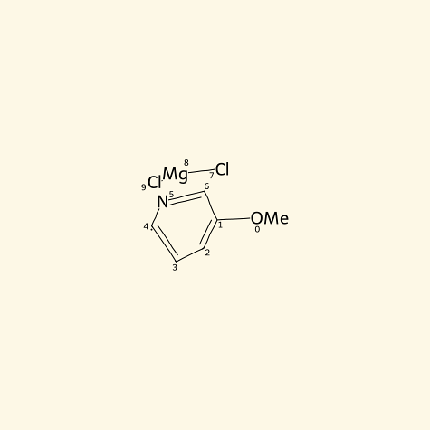 COc1cc[c]nc1.[Cl][Mg][Cl]